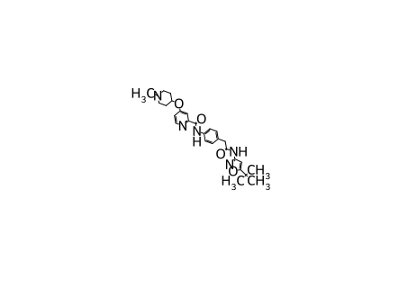 CN1CCC(Oc2ccnc(C(=O)Nc3ccc(CC(=O)Nc4cc(C(C)(C)C)on4)cc3)c2)CC1